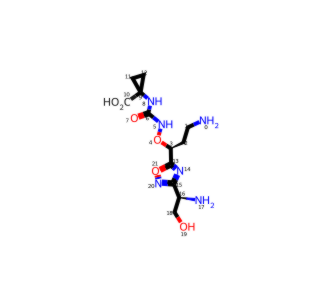 NCC[C@H](ONC(=O)NC1(C(=O)O)CC1)c1nc([C@@H](N)CO)no1